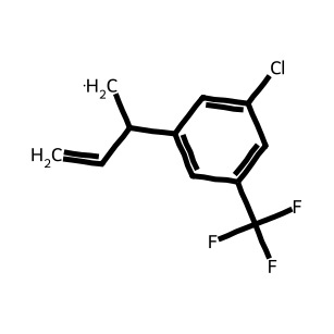 [CH2]C(C=C)c1cc(Cl)cc(C(F)(F)F)c1